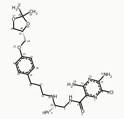 CCC[C@@H](CNC(=O)c1nc(Cl)c(N)nc1N)NCCCc1ccc(OC[C@@H]2COC(C)(C)O2)cc1